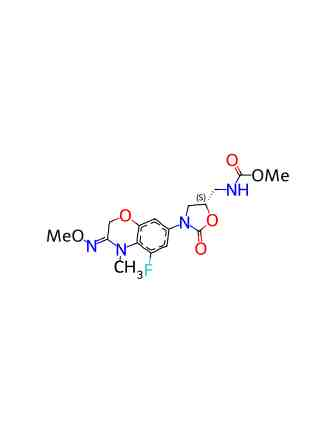 CON=C1COc2cc(N3C[C@H](CNC(=O)OC)OC3=O)cc(F)c2N1C